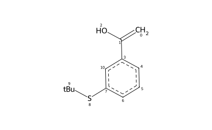 C=C(O)c1cccc(SC(C)(C)C)c1